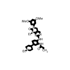 C=CC(=O)Nc1cc(C2=CCN(CC)CC2)ccc1Nc1ncc2c(n1)N(CC)C(=O)N(c1cc(OC)cc(OC)c1)C2